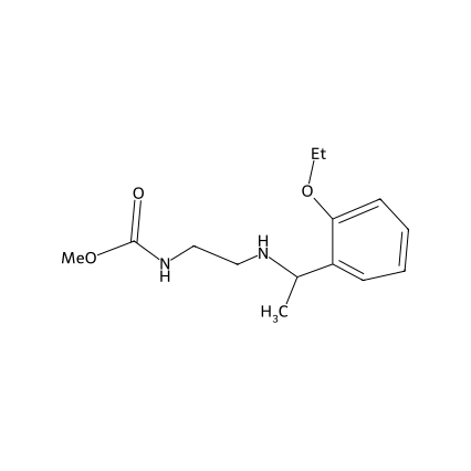 CCOc1ccccc1C(C)NCCNC(=O)OC